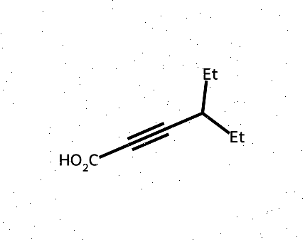 CCC(C#CC(=O)O)CC